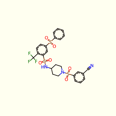 N#Cc1cccc(S(=O)(=O)N2CCC(NS(=O)(=O)c3cc(S(=O)(=O)c4ccccc4)ccc3C(F)(F)F)CC2)c1